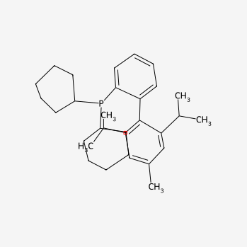 Cc1cc(C(C)C)c(-c2ccccc2P(C2CCCCC2)C2CCCCC2)c(C(C)C)c1